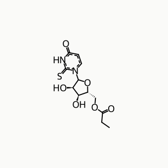 CCC(=O)OC[C@H]1OC(n2ccc(=O)[nH]c2=S)[C@H](O)[C@@H]1O